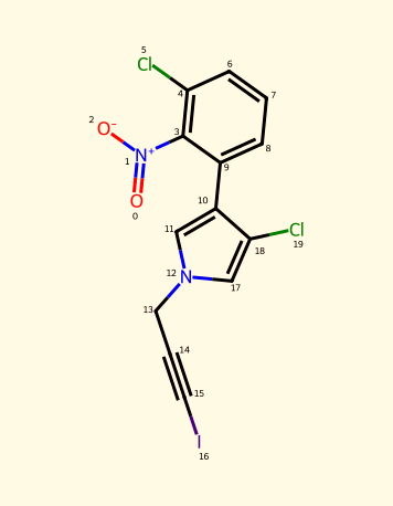 O=[N+]([O-])c1c(Cl)cccc1-c1cn(CC#CI)cc1Cl